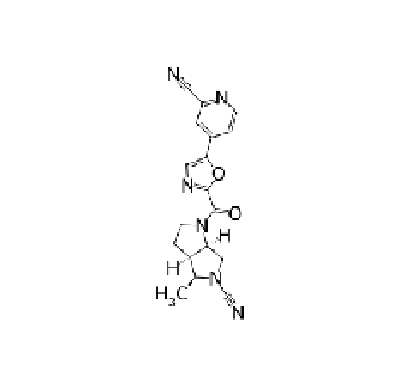 C[C@H]1[C@H]2CCN(C(=O)c3ncc(-c4ccnc(C#N)c4)o3)[C@H]2CN1C#N